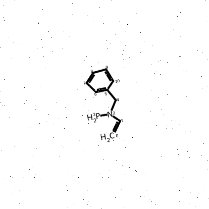 C=CN(P)Cc1ccccc1